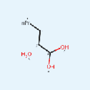 CCCCCC(O)O.O